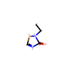 CCn1s[c]nc1=O